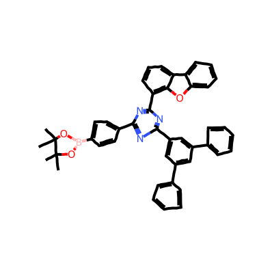 CC1(C)OB(c2ccc(-c3nc(-c4cc(-c5ccccc5)cc(-c5ccccc5)c4)nc(-c4cccc5c4oc4ccccc45)n3)cc2)OC1(C)C